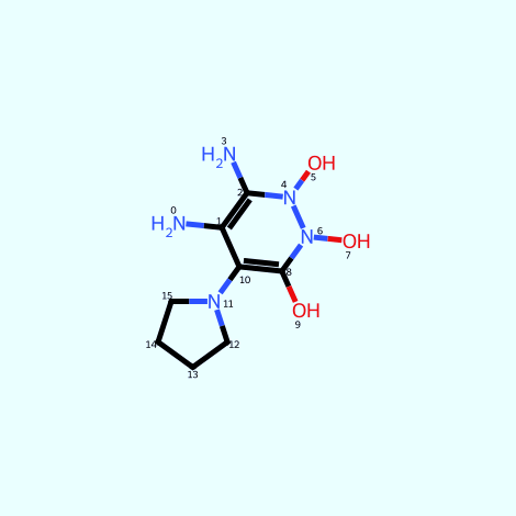 NC1=C(N)N(O)N(O)C(O)=C1N1CCCC1